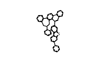 c1ccc(-c2ccc3c(c2)sc2cc(C4Cc5ccccc5-c5ccc6c(c54)CC(c4ccccc4)Cc4ccccc4-6)ccc23)cc1